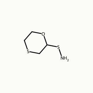 NSC1CSCCO1